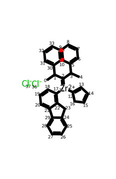 CC([C](C(C)c1ccccc1)=[Zr+2]([C]1=CC=CC1)[c]1cccc2c1Cc1ccccc1-2)c1ccccc1.[Cl-].[Cl-]